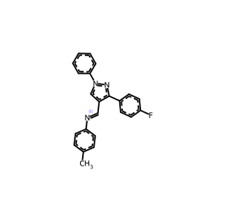 Cc1ccc(/N=C/c2cn(-c3ccccc3)nc2-c2ccc(F)cc2)cc1